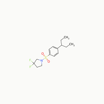 CCC(CC)c1ccc(S(=O)(=O)N2CCC(F)(F)C2)cc1